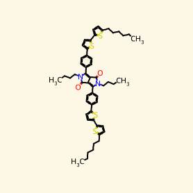 CCCCCCc1ccc(-c2ccc(-c3ccc(C4=C5C(=O)N(CCCC)C(c6ccc(-c7ccc(-c8ccc(CCCCCC)s8)s7)cc6)=C5C(=O)N4CCCC)cc3)s2)s1